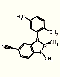 Cc1ccc(C)c(N2c3cc(C#N)ccc3N(C)[C@@H]2C)c1